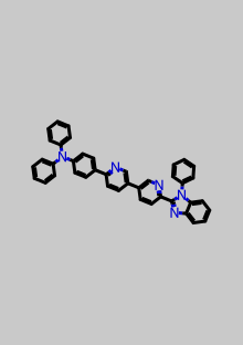 c1ccc(N(c2ccccc2)c2ccc(-c3ccc(-c4ccc(-c5nc6ccccc6n5-c5ccccc5)nc4)cn3)cc2)cc1